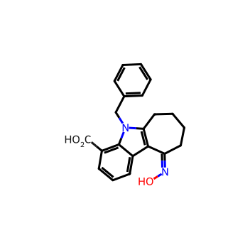 O=C(O)c1cccc2c3c(n(Cc4ccccc4)c12)CCCC/C3=N/O